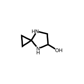 OC1CNC2(CC2)N1